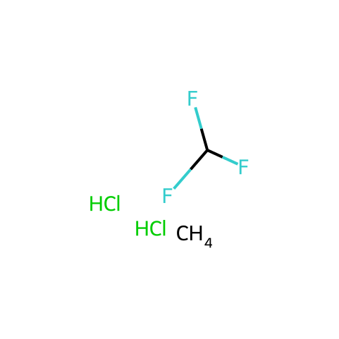 C.Cl.Cl.FC(F)F